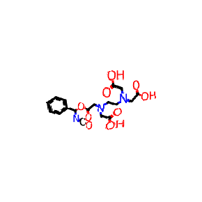 O=C=NC(OC(=O)CN(CCN(CC(=O)O)CC(=O)O)CC(=O)O)c1ccccc1